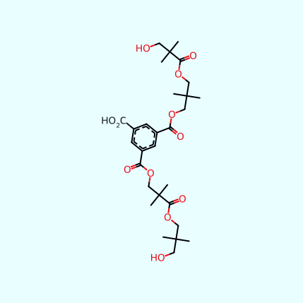 CC(C)(CO)COC(=O)C(C)(C)COC(=O)c1cc(C(=O)O)cc(C(=O)OCC(C)(C)COC(=O)C(C)(C)CO)c1